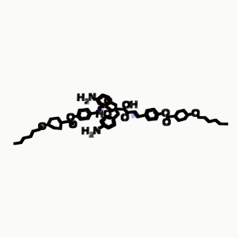 CCCCCCOC1CCC(C(=O)Oc2ccc(/C=C/C(=O)C(O)C(Cc3ccc(N)cc3)(Cc3ccc(N)cc3)C(O)C(=O)/C=C/c3ccc(OC(=O)C4CCC(OCCCCCC)CC4)cc3)cc2)CC1